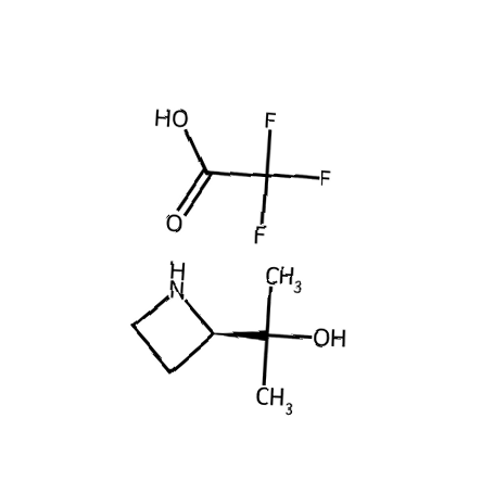 CC(C)(O)[C@H]1CCN1.O=C(O)C(F)(F)F